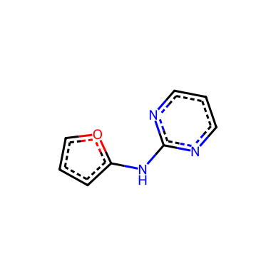 c1cnc(Nc2ccco2)nc1